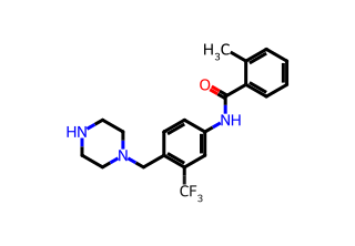 Cc1ccccc1C(=O)Nc1ccc(CN2CCNCC2)c(C(F)(F)F)c1